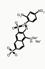 O=[N+]([O-])c1ccc(/N=N/c2c(S(=O)(=O)[O-])cc3cc(S(=O)(=O)[O-])ccc3c2O)c([N+](=O)[O-])c1.[Na+].[Na+]